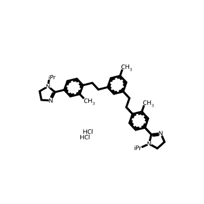 Cc1cc(CCc2ccc(C3=NCCN3C(C)C)cc2C)cc(CCc2ccc(C3=NCCN3C(C)C)cc2C)c1.Cl.Cl